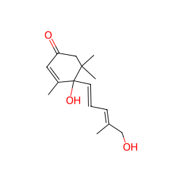 CC1=CC(=O)CC(C)(C)C1(O)/C=C/C=C(\C)CO